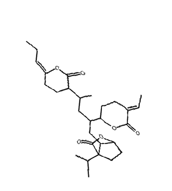 C/C=C1\CCC(C(CC(C)C2CC/C(=C/CC)OC2=O)CC2C3CCC2(C(C)C)C(=O)O3)OC1=O